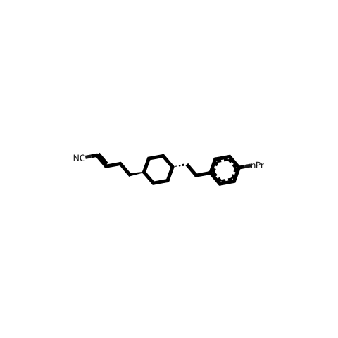 CCCc1ccc(CC[C@H]2CC[C@H](CCC=CC#N)CC2)cc1